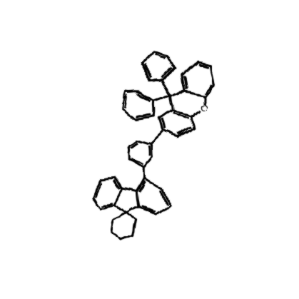 c1ccc(C2(c3ccccc3)c3ccccc3Oc3ccc(-c4cccc(-c5cccc6c5-c5ccccc5C65CCCCC5)c4)cc32)cc1